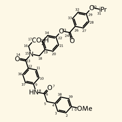 COc1ccc(CC(=O)Nc2ccc(C(=O)N(CC(=O)O)Cc3ccc(OC(=O)c4ccc(OC(C)C)cc4)cc3)cc2)cc1